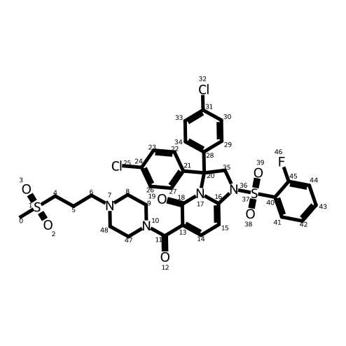 CS(=O)(=O)CCCN1CCN(C(=O)c2ccc3n(c2=O)C(c2ccc(Cl)cc2)(c2ccc(Cl)cc2)CN3S(=O)(=O)c2ccccc2F)CC1